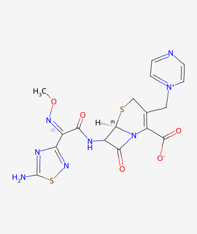 CO/N=C(\C(=O)NC1C(=O)N2C(C(=O)[O-])=C(C[n+]3ccncc3)CS[C@H]12)c1nsc(N)n1